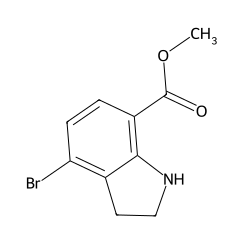 COC(=O)c1ccc(Br)c2c1NCC2